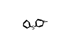 C[C@@H]1C=CC=C(Sc2ccccc2)C=C1